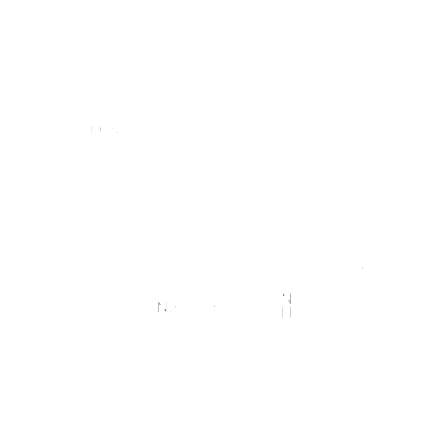 O=C1C=C(c2ccc(S(=O)(=O)O)cc2)C(=O)N1.[Na]